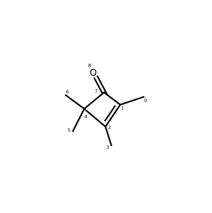 CC1=C(C)C(C)(C)C1=O